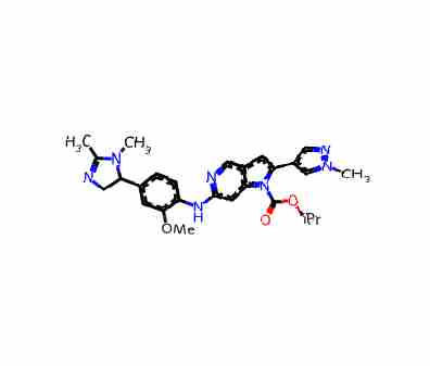 COc1cc(C2CN=C(C)N2C)ccc1Nc1cc2c(cn1)cc(-c1cnn(C)c1)n2C(=O)OC(C)C